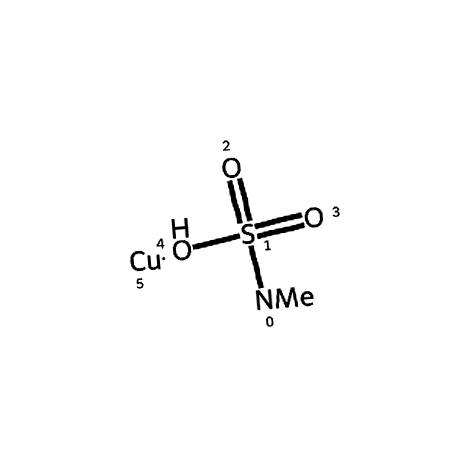 CNS(=O)(=O)O.[Cu]